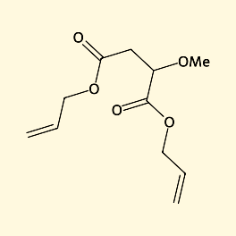 C=CCOC(=O)CC(OC)C(=O)OCC=C